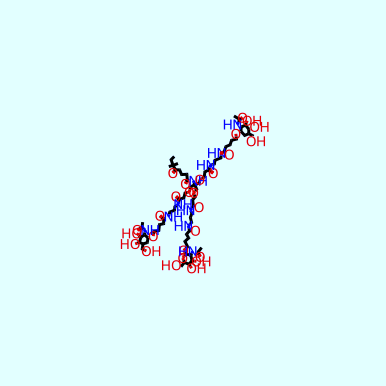 CCC(C)(C)C(=O)CCCC(=O)NC(COCCC(=O)NCCCNC(=O)CCCCOC1CC(CO)C(O)C(O)C1NC(C)=O)(COCCC(=O)NCCCNC(=O)CCCCOC1CC(CO)C(O)C(O)C1NC(C)=O)COCCC(=O)NCCCNC(=O)CCCCOC1OC(CO)C(O)C(O)C1NC(C)=O